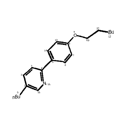 CCCCc1ccc(-c2ccc(OCCC(C)CC)cc2)nc1